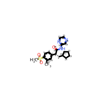 CS(=O)(=O)c1ccc([C@@H](CC2CCCC2)C(=O)Nc2cnccn2)cc1C(F)(F)F